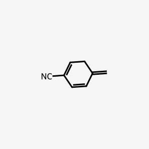 C=C1C=CC(C#N)=CC1